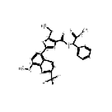 COC(=O)[C@@H](NC(=O)c1nc(-c2ccc(OC)c3nc(C(F)(F)F)ccc23)oc1CN)c1ccccc1